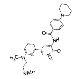 CNCCN(C)c1cccc(-c2c[nH]c(=O)c(NC(=O)c3ccc(N4CCCCC4)cc3)c2)n1